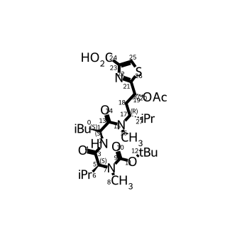 CC[C@H](C)[C@H](NC(=O)[C@H](C(C)C)N(C)C(=O)OC(C)(C)C)C(=O)N(C)[C@H](C[C@@H](OC(C)=O)c1nc(C(=O)O)cs1)C(C)C